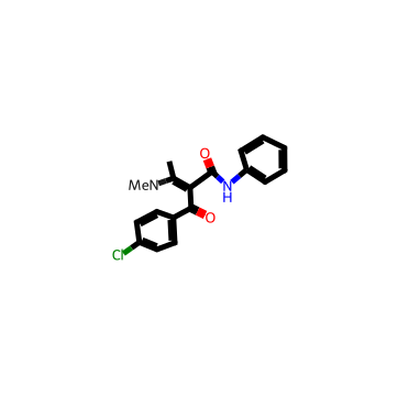 CNC(C)=C(C(=O)Nc1ccccc1)C(=O)c1ccc(Cl)cc1